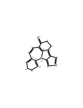 O=C1CCc2c3cncc3n3c4c(ccc1c23)=CCCC=4